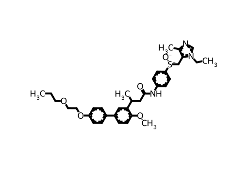 CCCOCCOc1ccc(-c2ccc(OC)c(C(C)CC(=O)Nc3ccc([S+]([O-])Cc4c(C)ncn4CC)cc3)c2)cc1